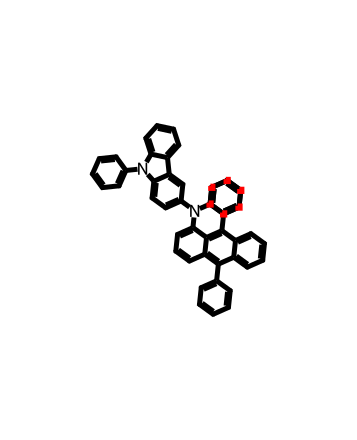 c1ccc(-c2c3ccccc3c(-c3ccccc3)c3c(N(c4ccccc4)c4ccc5c(c4)c4ccccc4n5-c4ccccc4)cccc23)cc1